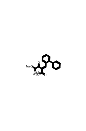 COC(=O)/C(=C/c1ccccc1-c1ccccc1)C(=O)C(OC)OC